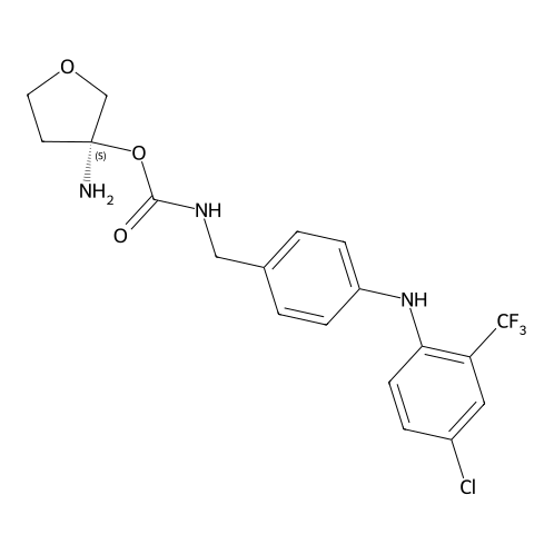 N[C@]1(OC(=O)NCc2ccc(Nc3ccc(Cl)cc3C(F)(F)F)cc2)CCOC1